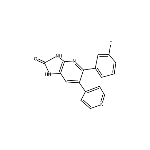 O=c1[nH]c2cc(-c3ccncc3)c(-c3cccc(F)c3)nc2[nH]1